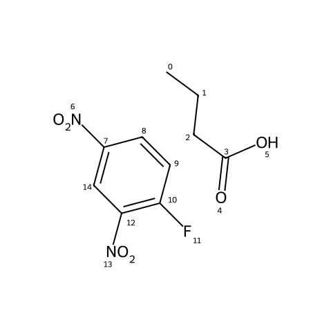 CCCC(=O)O.O=[N+]([O-])c1ccc(F)c([N+](=O)[O-])c1